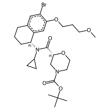 COCCCOc1cc2c(cc1Br)CCC[C@H]2N(C(=O)[C@H]1CN(C(=O)OC(C)(C)C)CCO1)C1CC1